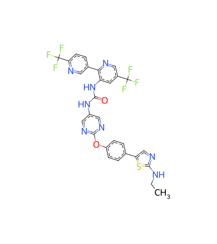 CCNc1ncc(-c2ccc(Oc3ncc(NC(=O)Nc4cc(C(F)(F)F)cnc4-c4ccc(C(F)(F)F)nc4)cn3)cc2)s1